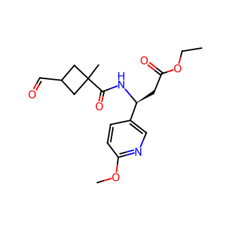 CCOC(=O)C[C@H](NC(=O)C1(C)CC(C=O)C1)c1ccc(OC)nc1